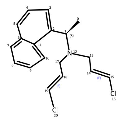 C[C@H](c1cccc2ccccc12)N(C/C=C/Cl)C/C=C/Cl